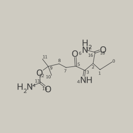 CCC(C(=N)C(=O)CCC(C)(C)OC(N)=O)C(N)=O